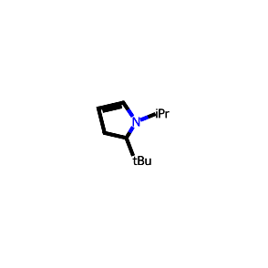 CC(C)N1C=CCC1C(C)(C)C